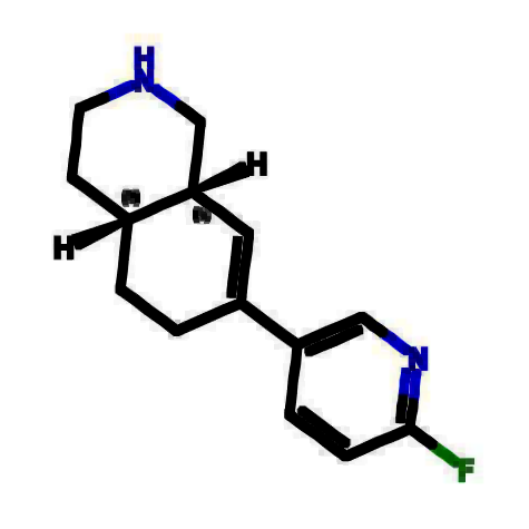 Fc1ccc(C2=C[C@H]3CNCC[C@H]3CC2)cn1